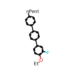 CCCCCc1ccc(-c2ccc(-c3ccc(OCC)c(F)c3)cc2)cc1